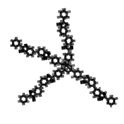 c1ccc(-c2nc3cc(-c4ccc5nc(-c6ccc(C78CC9(c%10ccc(-c%11nc%12ccc(-c%13ccc%14[nH]c(-c%15ccccc%15)nc%14c%13)cc%12[nH]%11)cc%10)CC(c%10ccc(-c%11nc%12ccc(-c%13ccc%14[nH]c(-c%15ccccc%15)nc%14c%13)cc%12[nH]%11)cc%10)(C7)CC(c7ccc(-c%10nc%11ccc(-c%12ccc%13[nH]c(-c%14ccccc%14)nc%13c%12)cc%11[nH]%10)cc7)(C8)C9)cc6)[nH]c5c4)ccc3[nH]2)cc1